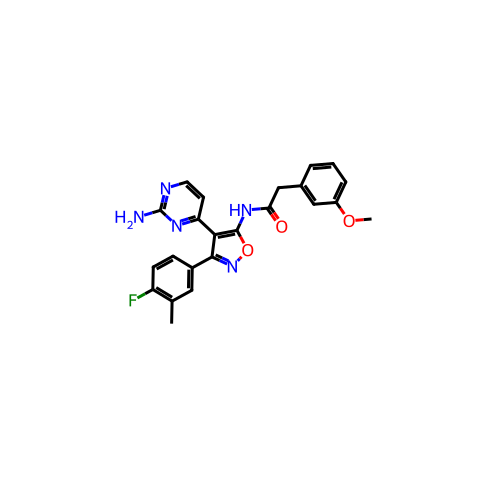 COc1cccc(CC(=O)Nc2onc(-c3ccc(F)c(C)c3)c2-c2ccnc(N)n2)c1